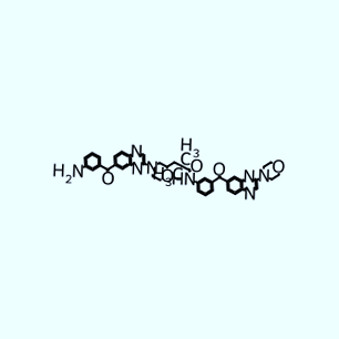 CC(C)(CC1CN(c2cnc3ccc(C(=O)c4cccc(N)c4)cc3n2)CCO1)C(=O)Nc1cccc(C(=O)c2ccc3ncc(N4CCOCC4)nc3c2)c1